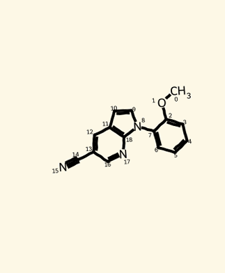 COc1ccccc1-n1ccc2cc(C#N)cnc21